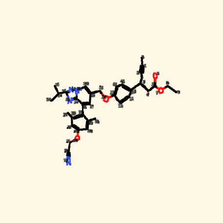 CC#CC(CC(=O)OCC)c1ccc(OCc2cc(-c3c(C)cc(OCC#N)cc3C)c3nc(C(C)C)nn3c2)cc1